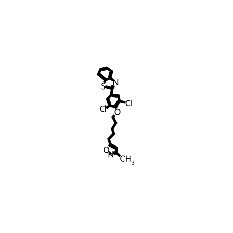 Cc1cc(CCCCCOc2c(Cl)cc(-c3nc4ccccc4s3)cc2Cl)on1